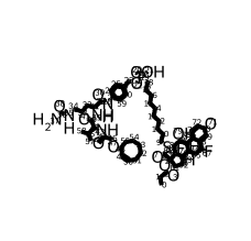 CCC(=O)O[C@]1(C(=O)SCCCCCCCCCCP(=O)(O)OCc2ccc(NC(=O)C(CCCNC(N)=O)NC(=O)C(NC(=O)COC3C#CCCCCC3)C(C)C)cc2)CC[C@H]2[C@@H]3C[C@H](F)C4=CC(=O)C=C[C@]4(C)[C@@]3(F)[C@@H](O)C[C@@]21C